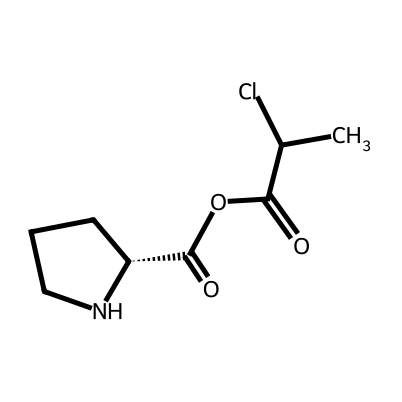 CC(Cl)C(=O)OC(=O)[C@H]1CCCN1